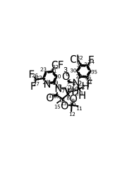 [2H]C([2H])([2H])N(C(=O)[C@@H]1[C@@H]2OC(C)(C)O[C@]2(C)C(=O)N1c1cc(C(F)(F)F)cc(C(F)F)n1)c1cc(Cl)c(F)cc1F